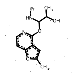 Cc1cc2c(OC(NC(C)C)C(C)O)nccc2o1